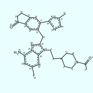 CC(=O)N1CCC(CCn2c(Cc3cc4c(cc3-c3ncc(C)s3)CCC4=O)nc3c(N)nc(F)nc32)CC1